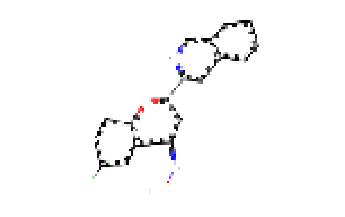 O/N=c1/cc(-c2cc3ccccc3cn2)oc2ccc(F)cc12